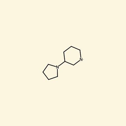 C1C[N]CC(N2CCCC2)C1